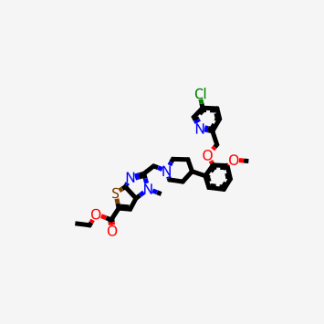 CCOC(=O)C1=CC2C(N=C(CN3CCC(c4cccc(OC)c4OCc4ccc(Cl)cn4)CC3)N2C)S1